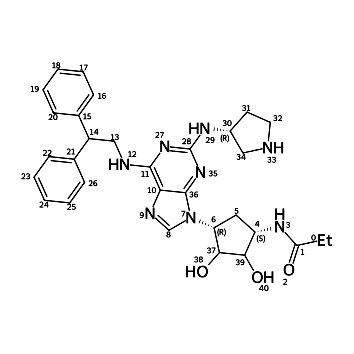 CCC(=O)N[C@H]1C[C@@H](n2cnc3c(NCC(c4ccccc4)c4ccccc4)nc(N[C@@H]4CCNC4)nc32)C(O)C1O